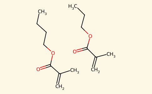 C=C(C)C(=O)OCCC.C=C(C)C(=O)OCCCC